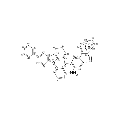 Nc1cccc2c1N(c1cccc(C3=CC4CC[C@@H]3C3C=CC4C3)c1)C1=CCCC3=C1B2c1ccc(-c2ccccc2)cc13